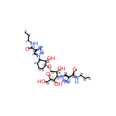 CCCNC(=O)c1cn(C2CCC[C@@H](O[C@@H]3OC(CO)[C@H](O)C(n4cc(C(=O)NCCC)nn4)C3O)C2O)nn1